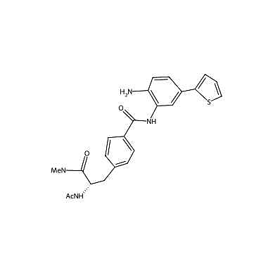 CNC(=O)[C@H](Cc1ccc(C(=O)Nc2cc(-c3cccs3)ccc2N)cc1)NC(C)=O